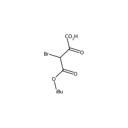 CCC(C)OC(=O)C(Br)C(=O)C(=O)O